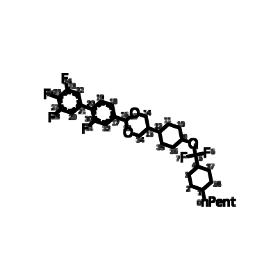 CCCCCC1CCC(C(F)(F)OC2CCC(C3COC(c4ccc(-c5cc(F)c(F)c(F)c5)c(F)c4)OC3)CC2)CC1